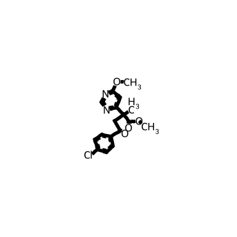 COC(=O)C(C)(CC(=O)c1ccc(Cl)cc1)c1cc(OC)ncn1